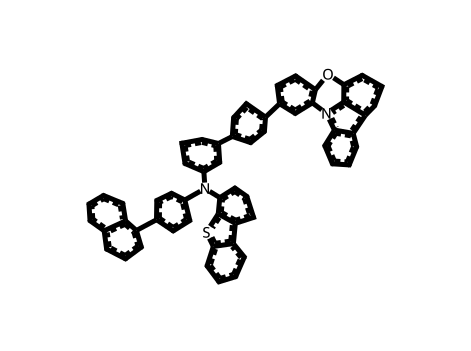 c1cc(-c2ccc(-c3ccc4c(c3)-n3c5ccccc5c5cccc(c53)O4)cc2)cc(N(c2ccc(-c3cccc4ccccc34)cc2)c2cccc3c2sc2ccccc23)c1